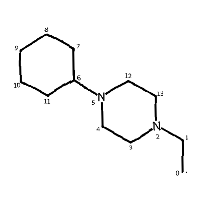 [CH2]CN1CCN(C2CCCCC2)CC1